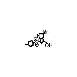 Cc1ccc(S(=O)(=O)n2cc(CO)c3cc(Br)cnc32)cc1